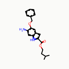 CC(C)CCOC(=O)c1cc2cc(OCc3ccccc3)c(N)cc2[nH]1